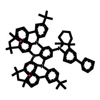 CC(C)(C)c1ccc(N2c3cc4c(cc3B3c5cc6c(cc5N(c5ccc(C(C)(C)C)cc5-c5ccccc5)c5cc(N7c8ccc(-c9ccccc9)cc8C8(C)CCCCC78C)cc2c53)C(C)(C)CC6(C)C)C(C)(C)CC4(C)C)c(-c2ccccc2)c1